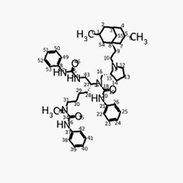 CC1CC2C[C@H](C)C[C@](CCN3CCC[C@@H]3CN(C(=O)Nc3ccccc3)[C@H](CCCCN(C)C(=O)Nc3ccccc3)CNC(=O)Nc3ccccc3)(C1)C2